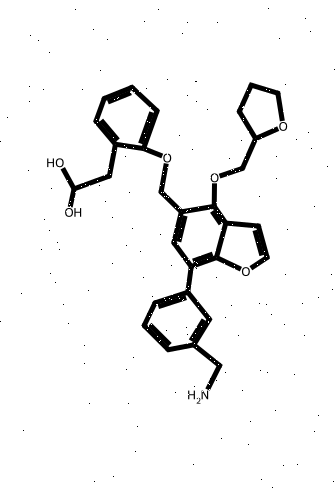 NCc1cccc(-c2cc(COc3ccccc3CC(O)O)c(OCC3CCCO3)c3ccoc23)c1